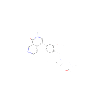 COc1cc(-c2cn(C)c(=O)c3cnccc23)cc(OC)c1CN1CC[C@H]1CN(C)C(C)=O